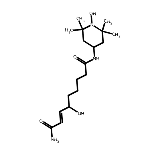 CC1(C)CC(NC(=O)CCCCC(O)/C=C/C(N)=O)CC(C)(C)N1O